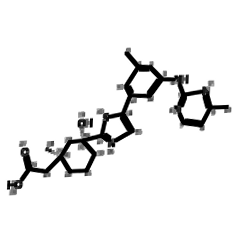 Cc1cc(Nc2nccc(C)n2)cc(-c2cnc([C@@]3(O)CCC[C@@](C)(CC(=O)O)C3)s2)c1